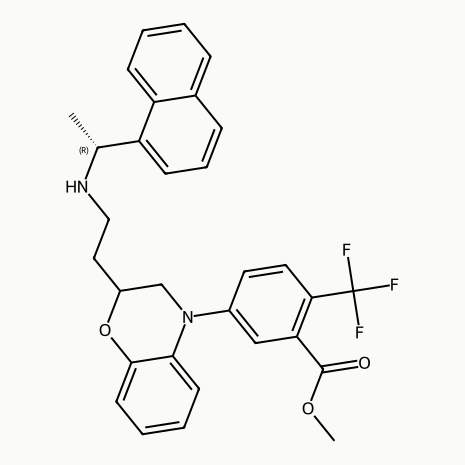 COC(=O)c1cc(N2CC(CCN[C@H](C)c3cccc4ccccc34)Oc3ccccc32)ccc1C(F)(F)F